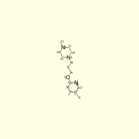 Cc1ccc(OCCCN2CCN(C)CC2)nc1